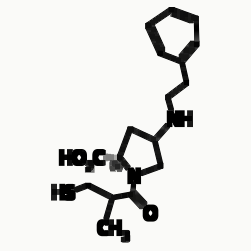 CC(CS)C(=O)N1CC(NCCc2ccccc2)C[C@H]1C(=O)O